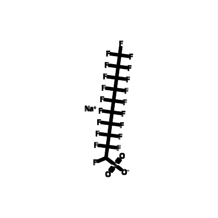 O=S(=O)([O-])C(F)C(F)(F)C(F)(F)C(F)(F)C(F)(F)C(F)(F)C(F)(F)C(F)(F)C(F)(F)C(F)(F)F.[Na+]